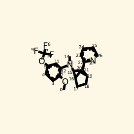 COc1ccc(OC(F)(F)F)cc1N(C)C1C2CCC(C2)C1c1ccccn1